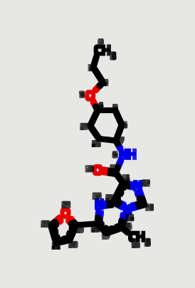 CCCOC1CCC(NC(=O)c2ncn3c(C)cc(-c4ccco4)nc23)CC1